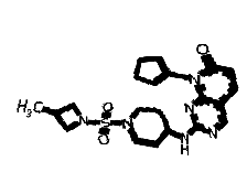 CC1CN(S(=O)(=O)N2CCC(Nc3ncc4ccc(=O)n(C5CCCC5)c4n3)CC2)C1